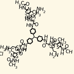 CC(=O)Nc1nc(C)c(S(=O)(=O)N[C@H](CCCCN)C(=O)Nc2ccc(C(c3ccc(NC(=O)[C@@H](CCCCN)NS(=O)(=O)c4sc(NC(C)=O)nc4C)cc3)c3ccc(NC(=O)[C@@H](CCCCN)NS(=O)(=O)c4sc(NC(C)=O)nc4C)cc3)cc2)s1.Cl